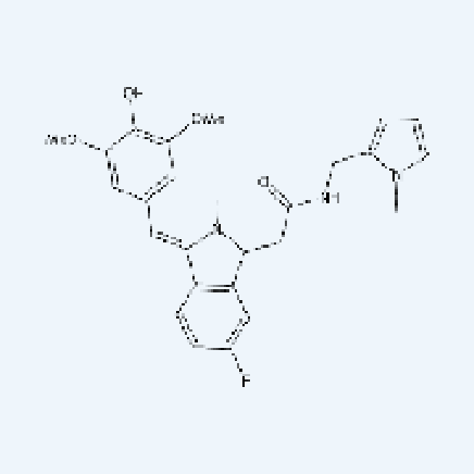 COc1cc(C=C2c3ccc(F)cc3C(CC(=O)NCc3cccn3C)N2C)cc(OC)c1O